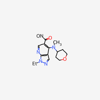 CCn1ncc2c(N(C)C3CCOCC3)c(C(=O)N=O)cnc21